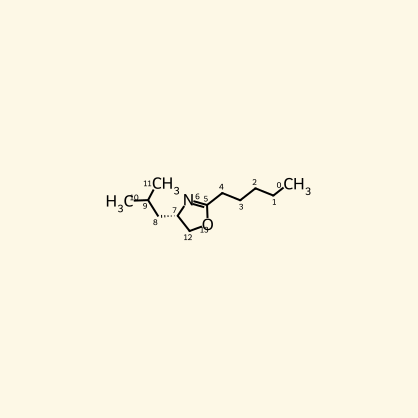 CCCCCC1=N[C@@H](CC(C)C)CO1